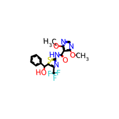 COc1ncnc(OC)c1C(=O)Nc1nc(C(F)(F)F)c(C(O)c2ccccc2)s1